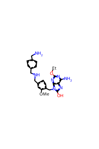 CCOc1nc(N)c2nc(O)n(Cc3ccc(CNCc4ccc(CN)cc4)cc3OC)c2n1